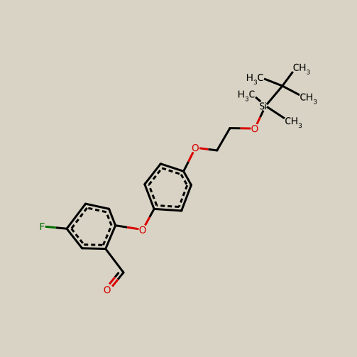 CC(C)(C)[Si](C)(C)OCCOc1ccc(Oc2ccc(F)cc2C=O)cc1